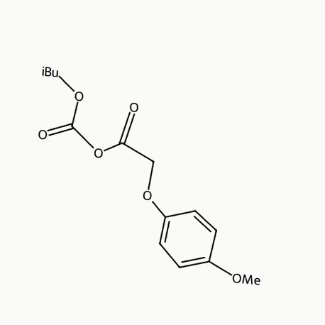 CCC(C)OC(=O)OC(=O)COc1ccc(OC)cc1